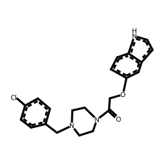 O=C(COc1ccc2[nH]ccc2c1)N1CCN(Cc2ccc(Cl)cc2)CC1